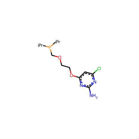 CC(C)P(COCCOc1cc(Cl)nc(N)n1)C(C)C